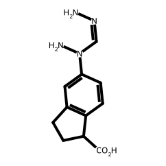 N/N=C\N(N)c1ccc2c(c1)CCC2C(=O)O